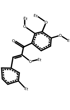 CCOC(=Cc1cccc(CC)c1)C(=O)c1ccc(OCC)c(OCC)c1OCC